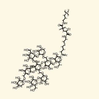 CCC(CC(C)(C)C(=O)NCCC[N+](C)(C)C)C(=O)NCCSCCCN(C(C)=O)[C@@H]1O[C@@H](CO)[C@@H](O[C@@H]2OC(CO[C@H]3OC[C@@H](O)[C@H](O)C3O[C@@H]3OC(CO)[C@H](O)[C@H](O)C3O)[C@@H](O[C@@H]3O[C@@H](CO[C@H]4OC[C@@H](O)[C@H](O)C4O[C@@H]4OC(CO)[C@H](O)[C@H](O)C4O)[C@@H](O[C@@H]4OC(CO[C@H]5OC[C@@H](O)[C@H](O)C5O)[C@@H](O)[C@H](O)C4O)C(O)C3O)[C@H](O)C2O)C(O)C1O